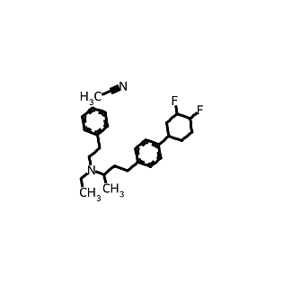 CC#N.CCN(CCc1ccccc1)C(C)CCc1ccc(C2CCC(F)C(F)C2)cc1